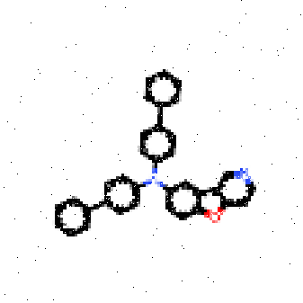 c1ccc(-c2ccc(N(c3ccc(-c4ccccc4)cc3)c3ccc4oc5ccncc5c4c3)cc2)cc1